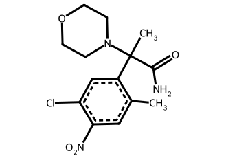 Cc1cc([N+](=O)[O-])c(Cl)cc1C(C)(C(N)=O)N1CCOCC1